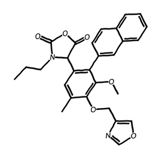 CCCN1C(=O)OC(=O)C1c1cc(C)c(OCc2cocn2)c(OC)c1-c1ccc2ccccc2c1